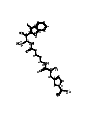 Cc1c(C(O)C(NC(=O)CCCCNC(=O)C(N)CC2=CCN(C(=N)N)C2)C(=O)O)oc2ccccc12